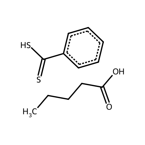 CCCCC(=O)O.S=C(S)c1ccccc1